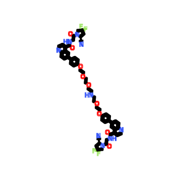 N#C[C@@H]1CC(F)(F)CN1C(=O)CNC(=O)c1ccnc2ccc(-c3ccc(OCCOCCNCCOCCOCCOc4ccc(-c5ccc6nccc(C(=O)NCC(=O)N7CC(F)(F)C[C@H]7C#N)c6c5)cc4)cc3)cc12